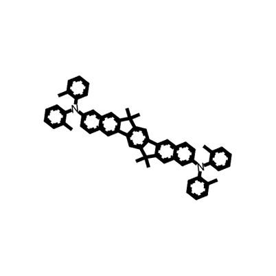 Cc1ccccc1N(c1ccc2cc3c(cc2c1)C(C)(C)c1cc2c(cc1-3)C(C)(C)c1cc3cc(N(c4ccccc4C)c4ccccc4C)ccc3cc1-2)c1ccccc1C